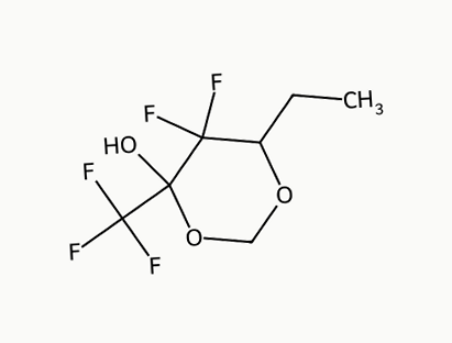 CCC1OCOC(O)(C(F)(F)F)C1(F)F